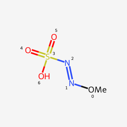 CON=NS(=O)(=O)O